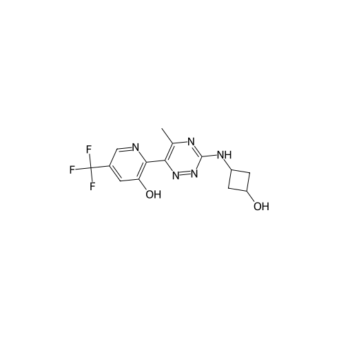 Cc1nc(NC2CC(O)C2)nnc1-c1ncc(C(F)(F)F)cc1O